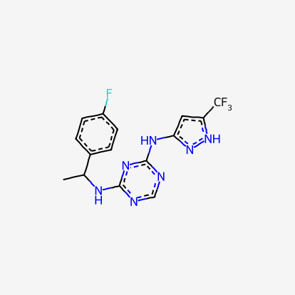 CC(Nc1ncnc(Nc2cc(C(F)(F)F)[nH]n2)n1)c1ccc(F)cc1